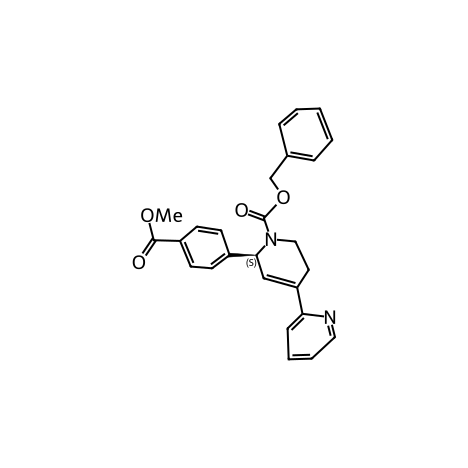 COC(=O)c1ccc([C@@H]2C=C(c3ccccn3)CCN2C(=O)OCc2ccccc2)cc1